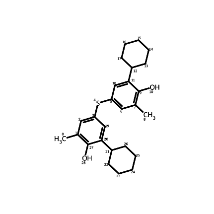 Cc1cc(Sc2cc(C)c(O)c(C3CCCCC3)c2)cc(C2CCCCC2)c1O